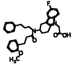 COc1ccccc1CCC(=O)N(CCCc1ccccc1)C1CCc2c(c3cc(F)ccc3n2CC(=O)O)C1